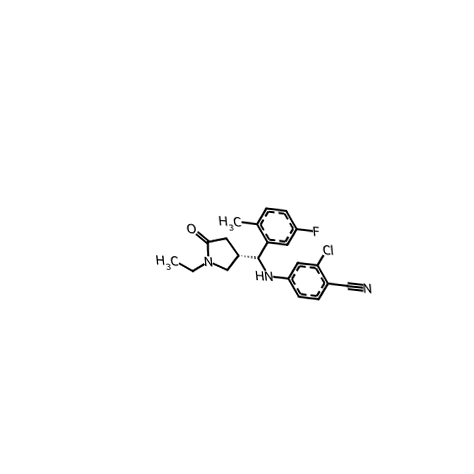 CCN1C[C@@H](C(Nc2ccc(C#N)c(Cl)c2)c2cc(F)ccc2C)CC1=O